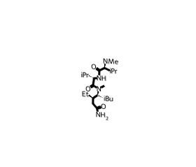 CC[C@H](CC(N)=O)[C@H]([C@@H](C)CC)N(C)C(=O)[C@@H](NC(=O)[C@@H](NC)C(C)C)C(C)C